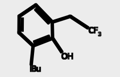 CCC(C)c1cccc(CC(F)(F)F)c1O